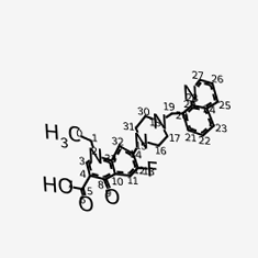 CCn1cc(C(=O)O)c(=O)c2cc(F)c(N3CCN(Cc4cccc5cccnc45)CC3)cc21